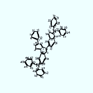 C(=C(/c1cccc(-c2ccccc2)c1)c1ccc2cc(N(c3ccccc3)c3ccccc3)ccc2c1)/c1ccc(N(c2ccccc2)c2ccccc2)cc1